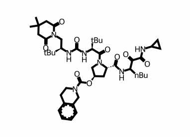 CCCCC(NC(=O)[C@@H]1C[C@@H](OC(=O)N2CCc3ccccc3C2)CN1C(=O)[C@@H](NC(=O)N[C@H](CN1C(=O)CC(C)(C)CC1=O)C(C)(C)C)C(C)(C)C)C(=O)C(=O)NC1CC1